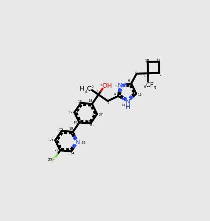 CC(O)(Cc1nc(CC2(C(F)(F)F)CCC2)c[nH]1)c1ccc(-c2ccc(F)cn2)cc1